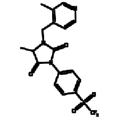 Cc1cnccc1CN1C(=O)N(c2ccc(S(=O)(=O)C(F)(F)F)cc2)C(=O)C1C